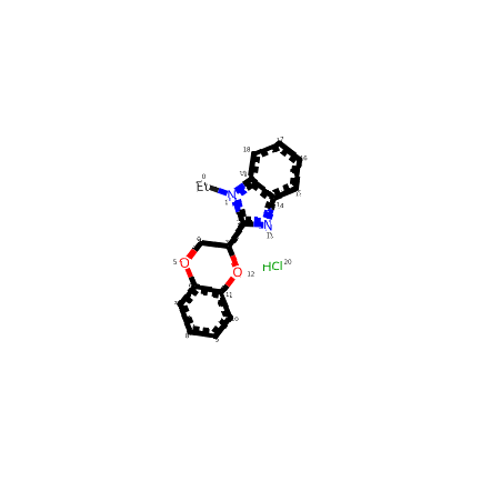 CCn1c(C2COc3ccccc3O2)nc2ccccc21.Cl